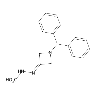 O=C(O)NN=C1CN(C(c2ccccc2)c2ccccc2)C1